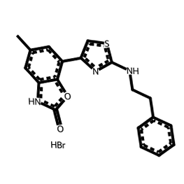 Br.Cc1cc(-c2csc(NCCc3ccccc3)n2)c2oc(=O)[nH]c2c1